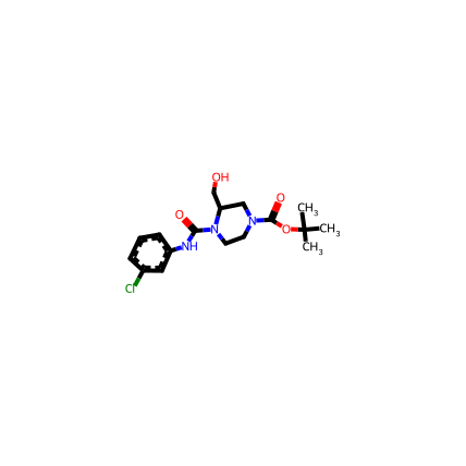 CC(C)(C)OC(=O)N1CCN(C(=O)Nc2cccc(Cl)c2)C(CO)C1